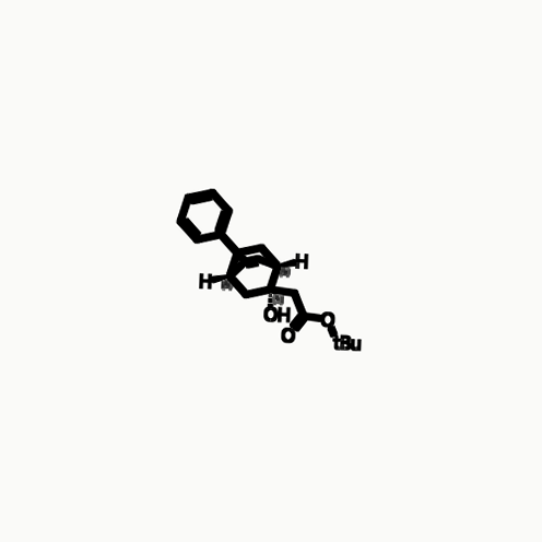 CC(C)(C)OC(=O)C[C@@]1(O)C[C@@H]2CC[C@H]1C=C2c1ccccc1